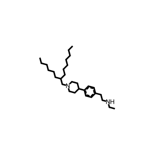 CCCCCCCC(CCCCCC)CN1CCC(c2ccc(CCNCC)cc2)CC1